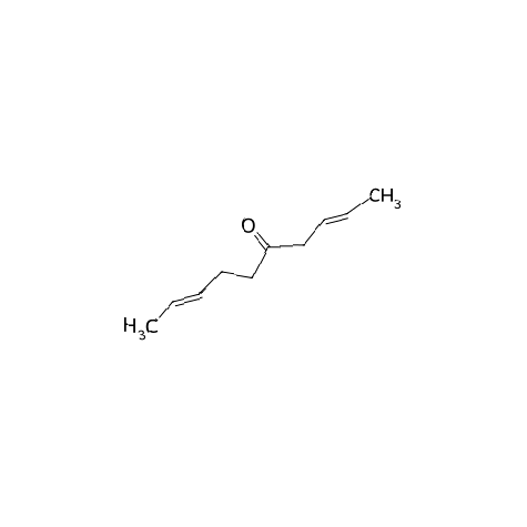 CC=CCCC(=O)CC=CC